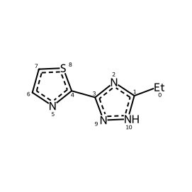 [CH2]Cc1nc(-c2nccs2)n[nH]1